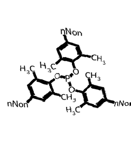 CCCCCCCCCc1cc(C)c(OP(Oc2c(C)cc(CCCCCCCCC)cc2C)Oc2c(C)cc(CCCCCCCCC)cc2C)c(C)c1